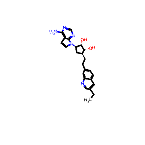 CCc1cnc2cc(CC[C@H]3C[C@@H](n4ccc5c(N)ncnc54)[C@H](O)[C@@H]3O)ccc2c1